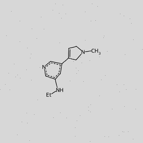 CCNc1cncc(C2=CCN(C)C2)c1